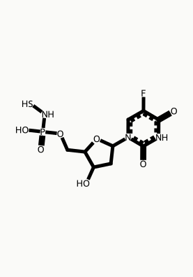 O=c1[nH]c(=O)n(C2CC(O)C(COP(=O)(O)NS)O2)cc1F